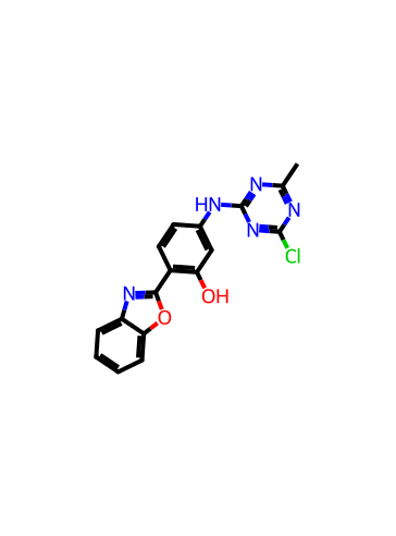 Cc1nc(Cl)nc(Nc2ccc(-c3nc4ccccc4o3)c(O)c2)n1